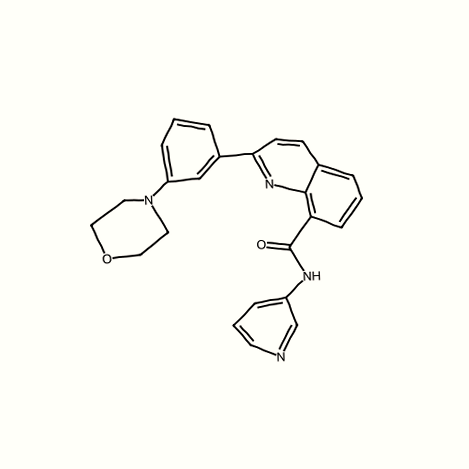 O=C(Nc1cccnc1)c1cccc2ccc(-c3cccc(N4CCOCC4)c3)nc12